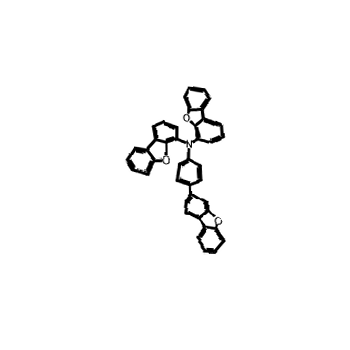 c1ccc2c(c1)oc1cc(-c3ccc(N(c4cccc5c4oc4ccccc45)c4cccc5c4oc4ccccc45)cc3)ccc12